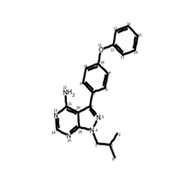 CC(C)Cn1nc(-c2ccc(Oc3ccccc3)cc2)c2c(N)ncnc21